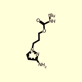 CC(C)(C)NC(=O)OCCCn1ccc(N)n1